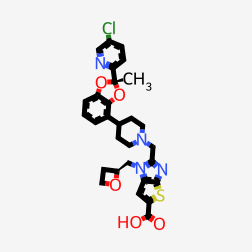 C[C@]1(c2ccc(Cl)cn2)Oc2cccc(C3CCN(Cc4nc5sc(C(=O)O)cc5n4C[C@@H]4CCO4)CC3)c2O1